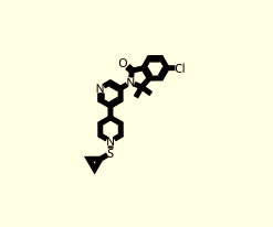 CC1(C)c2cc(Cl)ccc2C(=O)N1c1cncc(C2CCN(SC3CC3)CC2)c1